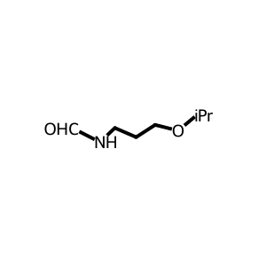 CC(C)OCCCNC=O